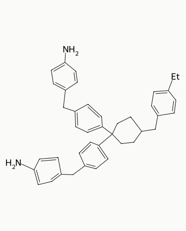 CCc1ccc(CC2CCC(c3ccc(Cc4ccc(N)cc4)cc3)(c3ccc(Cc4ccc(N)cc4)cc3)CC2)cc1